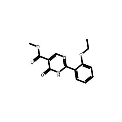 CCOc1ccccc1-c1ncc(C(=O)OC)c(=O)[nH]1